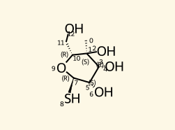 C[C@]1(O)[C@H](O)[C@H](O)[C@@H](S)O[C@@H]1CO